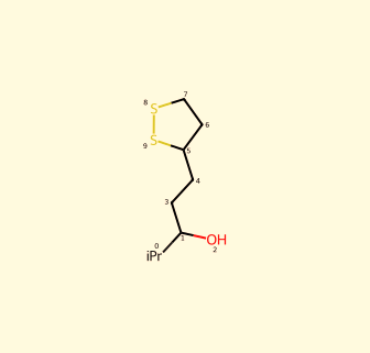 CC(C)C(O)CCC1CCSS1